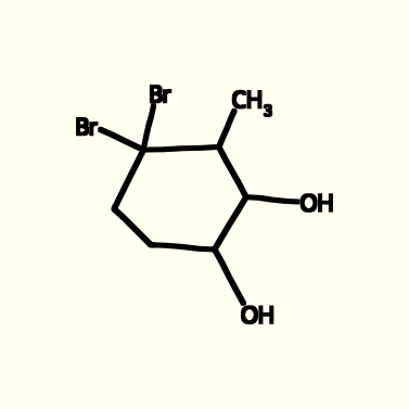 CC1C(O)C(O)CCC1(Br)Br